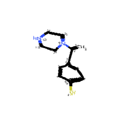 C=C(c1ccc(S)cc1)N1CCNCC1